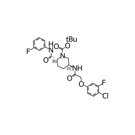 CC(C)(C)OC(=O)N1C[C@@H](NC(=O)COc2ccc(Cl)c(F)c2)CC[C@@H]1C(=O)Nc1cccc(F)c1